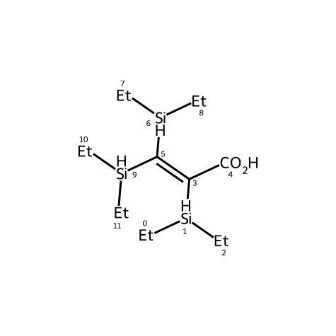 CC[SiH](CC)C(C(=O)O)=C([SiH](CC)CC)[SiH](CC)CC